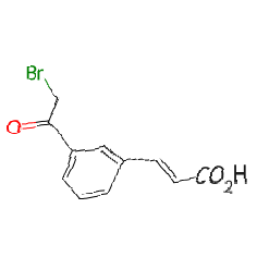 O=C(O)C=Cc1cccc(C(=O)CBr)c1